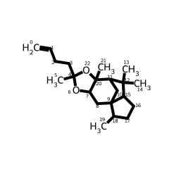 C=CCCC1(C)OC2CC34CC(C(C)(C)C3CCC4C)C2(C)O1